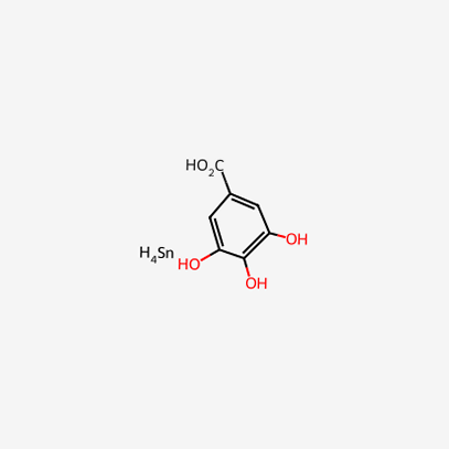 O=C(O)c1cc(O)c(O)c(O)c1.[SnH4]